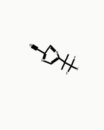 CC(C)(c1cnc(C#N)cn1)C(F)(F)F